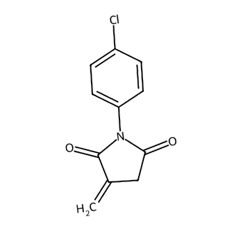 C=C1CC(=O)N(c2ccc(Cl)cc2)C1=O